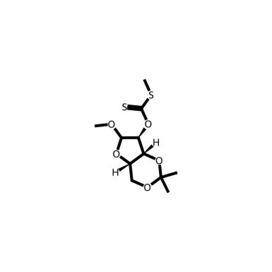 COC1O[C@H]2COC(C)(C)O[C@H]2[C@@H]1OC(=S)SC